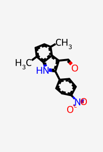 Cc1ccc(C)c2c(C=O)c(-c3ccc([N+](=O)[O-])cc3)[nH]c12